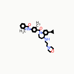 Cc1ccccc1C(=O)Nc1ccc(C(=O)N2CCCC(NCCCN3CCOCC3)c3cc(C4C=C4)ccc32)c(C)c1